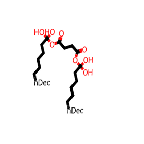 CCCCCCCCCCCCCCCC(O)(O)OC(=O)CCC(=O)OC(O)(O)CCCCCCCCCCCCCCC